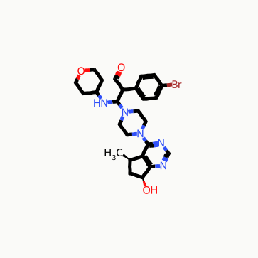 C[C@@H]1C[C@H](O)c2ncnc(N3CCN(C(NC4CCOCC4)C(C=O)c4ccc(Br)cc4)CC3)c21